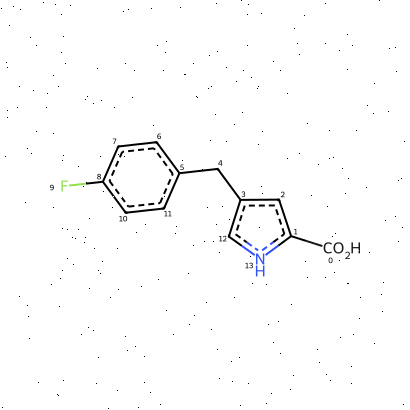 O=C(O)c1cc(Cc2ccc(F)cc2)c[nH]1